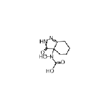 O=C(O)N(O)C12CCCCC1=NNC2=O